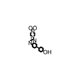 COC(=O)N1CCN(c2cnc3ccc(-c4ccc(O)cc4)cc3n2)CC1